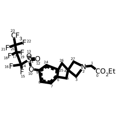 CCOC(=O)CN1CC2(Cc3ccc(OS(=O)(=O)C(F)(F)C(F)(F)C(F)(F)C(F)(F)F)cc3C2)C1